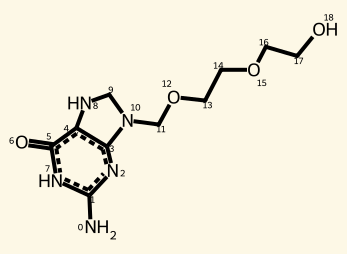 Nc1nc2c(c(=O)[nH]1)NCN2COCCOCCO